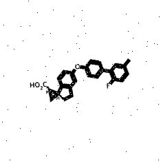 Cc1ccc(F)c(-c2ccc(Oc3ccc4c(c3)CC[C@]43C[C@H]3C(=O)O)cc2)c1